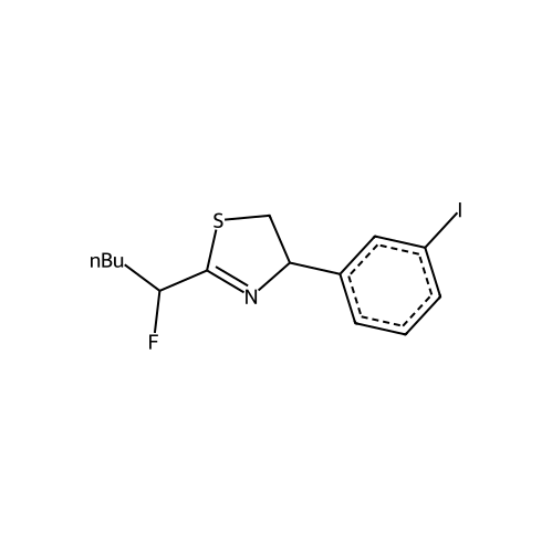 CCCCC(F)C1=NC(c2cccc(I)c2)CS1